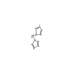 C1=C[CH]([Zr][CH]2C=CC=C2)C=C1